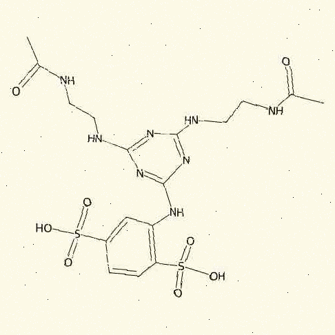 CC(=O)NCCNc1nc(NCCNC(C)=O)nc(Nc2cc(S(=O)(=O)O)ccc2S(=O)(=O)O)n1